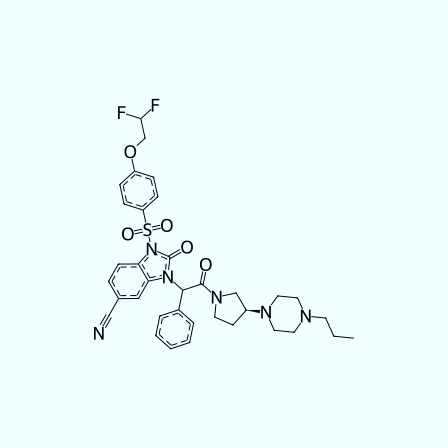 CCCN1CCN([C@H]2CCN(C(=O)C(c3ccccc3)n3c(=O)n(S(=O)(=O)c4ccc(OCC(F)F)cc4)c4ccc(C#N)cc43)C2)CC1